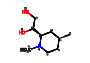 C[C@@H]1CCN(C(=O)O)[C@@H](C(O)CO)C1